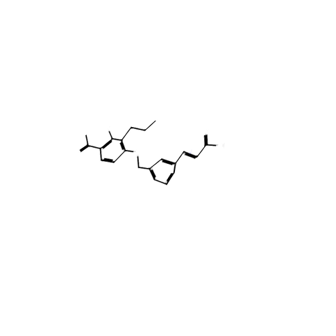 CCCc1c(OCc2cccc(/C=C/C(=O)O)c2)ccc(C(C)=O)c1O